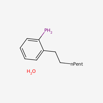 CCCCCCCc1ccccc1P.O